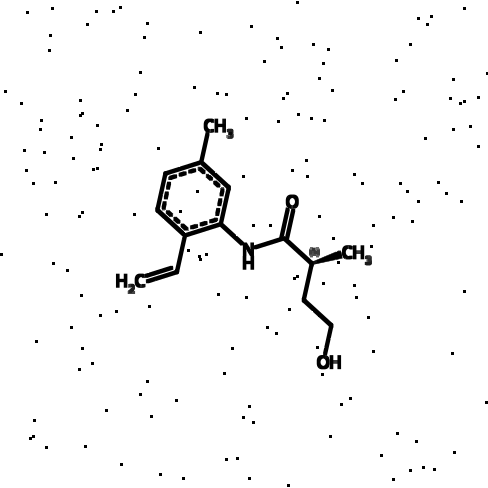 C=Cc1ccc(C)cc1NC(=O)[C@@H](C)CCO